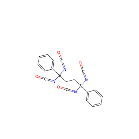 O=C=N[Si](CC[Si](N=C=O)(N=C=O)c1ccccc1)(N=C=O)c1ccccc1